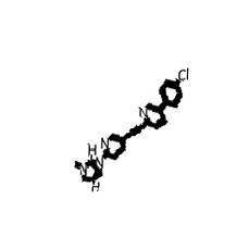 CN1C[C@@H]2C[C@@H]1N(c1ccc(C#Cc3ccc(-c4ccc(Cl)cc4)cn3)cn1)C2